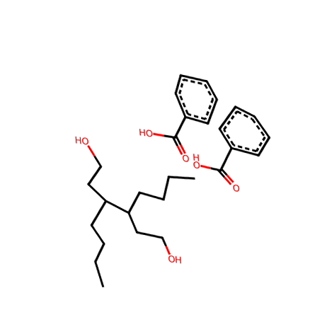 CCCCC(CCO)C(CCO)CCCC.O=C(O)c1ccccc1.O=C(O)c1ccccc1